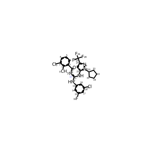 Cc1c(Cl)cccc1C(=O)/N=C(/Nc1cc(F)cc(Cl)c1)Nc1cc(C(F)(F)F)nn1C1CCCC1